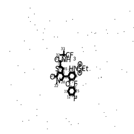 CCS(=O)(=O)Nc1ccc(Oc2ccc(F)cc2F)c(-c2cn(C)c(=O)c3sc(C(=O)NC(C)(C)C(F)(F)F)cc23)c1